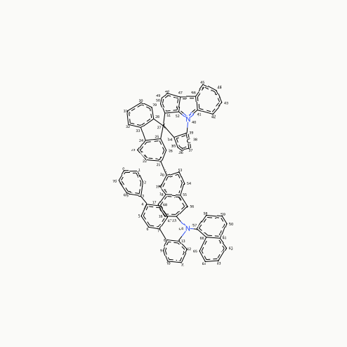 c1ccc(-c2ccc(-c3ccccc3N(c3ccc4cc(-c5ccc6c(c5)C5(c7ccccc7-6)c6ccccc6-n6c7ccccc7c7cccc5c76)ccc4c3)c3cccc4ccccc34)cc2)cc1